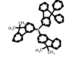 CC1(C)c2ccccc2-c2cc(N(c3ccc4c(c3)-c3ccccc3C4(C)C)c3ccc4c(c3)-c3ccccc3C4(c3ccccc3)c3ccccc3)ccc21